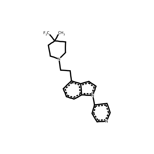 CC1(C(F)(F)F)CCN(CCc2cccc3c2ccn3-c2ccncc2)CC1